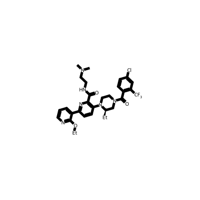 CCOc1ncccc1-c1ccc(N2CCN(C(=O)c3ccc(Cl)cc3C(F)(F)F)C[C@H]2CC)c(C(=O)NCCN(C)C)n1